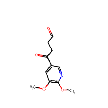 COc1cc(C(=O)CCC=O)cnc1OC